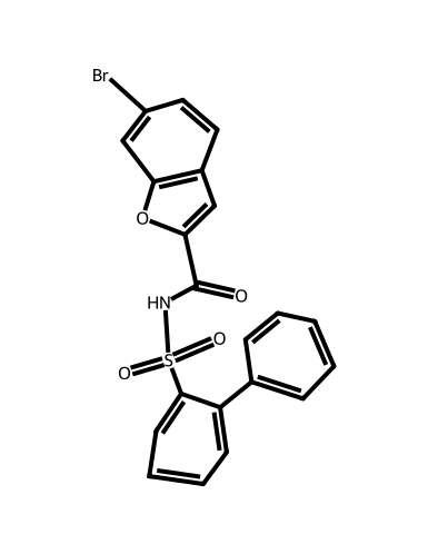 O=C(NS(=O)(=O)c1ccccc1-c1ccccc1)c1cc2ccc(Br)cc2o1